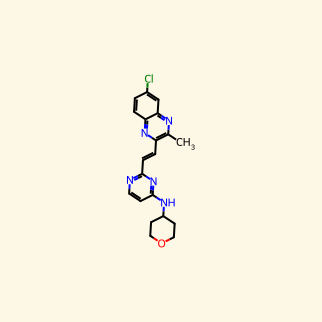 Cc1nc2cc(Cl)ccc2nc1C=Cc1nccc(NC2CCOCC2)n1